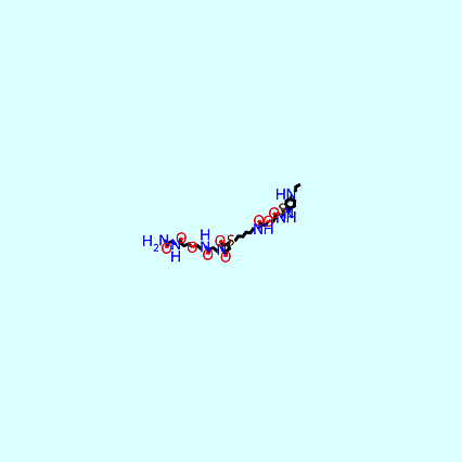 CCCN[C@H]1CCc2nc(NC(=O)COCC(=O)NCCCCCCSC3CC(=O)N(CCC(=O)NCCOCCC(=O)NCC(N)=O)C3=O)sc2C1